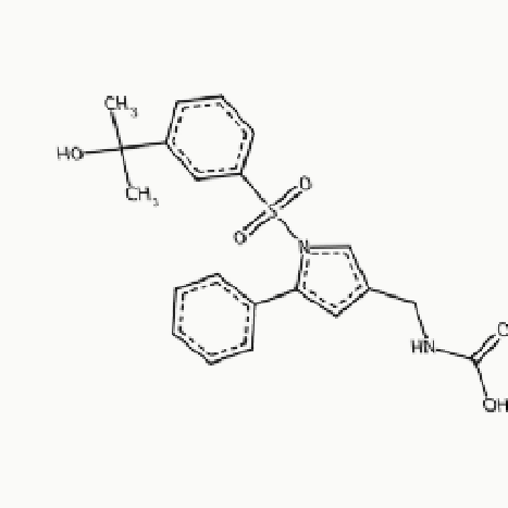 CC(C)(O)c1cccc(S(=O)(=O)n2cc(CNC(=O)O)cc2-c2ccccc2)c1